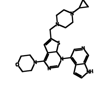 C1=NC(N2CCOCC2)=C2C=C(CN3CCN(C4CC4)CC3)SC2N1c1cncc2[nH]ccc12